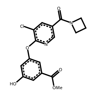 COC(=O)c1cc(O)cc(Oc2ncc(C(=O)N3CCC3)cc2Cl)c1